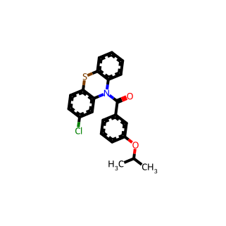 CC(C)Oc1cccc(C(=O)N2c3ccccc3Sc3ccc(Cl)cc32)c1